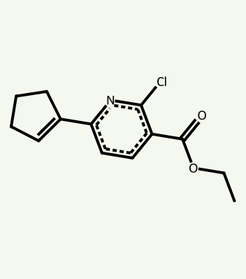 CCOC(=O)c1ccc(C2=CCCC2)nc1Cl